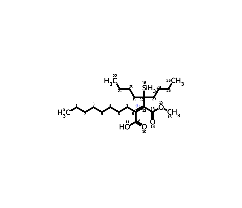 CCCCCCCC/C(C(=O)O)=C(/C(=O)OC)C([SiH3])(CCCC)CCCC